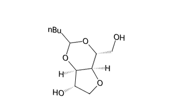 CCCCC1O[C@H]2[C@H](OC[C@@H]2O)[C@@H](CO)O1